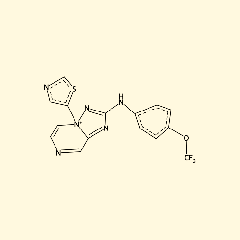 FC(F)(F)Oc1ccc(NC2=N[N+]3(c4cncs4)C=CN=CC3=N2)cc1